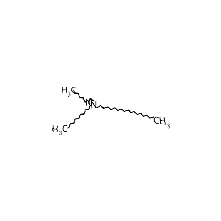 CCCCCCCCCCCCCCCCCCCN1C=CN(CCCCCC)C1CCCCCCCCCC